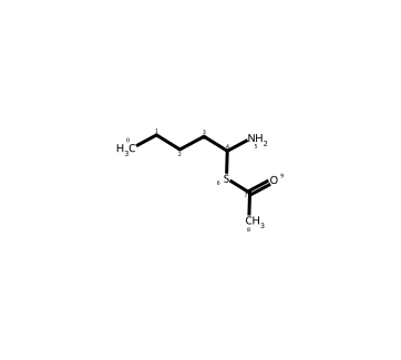 CCC[CH]C(N)SC(C)=O